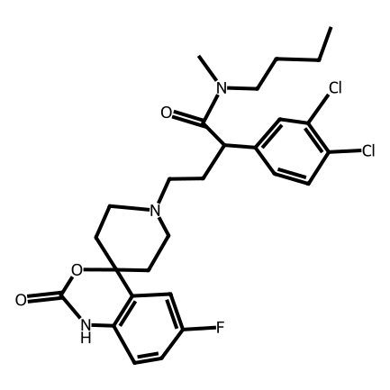 CCCCN(C)C(=O)C(CCN1CCC2(CC1)OC(=O)Nc1ccc(F)cc12)c1ccc(Cl)c(Cl)c1